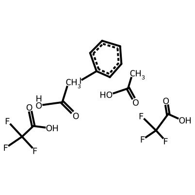 CC(=O)O.CC(=O)O.Ic1ccccc1.O=C(O)C(F)(F)F.O=C(O)C(F)(F)F